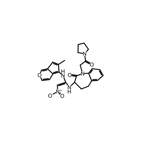 Cc1cc2coccc-2c1NC(=C[N+](=O)[O-])NC1CCc2ccccc2N(CC(=O)N2CCCC2)C1=O